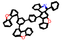 c1ccc(-c2nc3ccccc3c3c(-c4ccc(-c5cc(-c6cccc7oc8ccccc8c67)cc(-c6cccc7oc8ccccc8c67)c5)cc4)c4c(cc23)oc2ccccc24)cc1